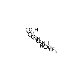 O=C(O)CC1CCC2(CC1)CCN(c1ccc(-c3nc4ccc(OC(F)(F)F)cc4[nH]3)cn1)CC2